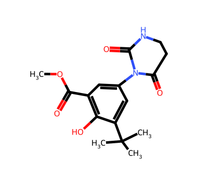 COC(=O)c1cc(N2C(=O)CCNC2=O)cc(C(C)(C)C)c1O